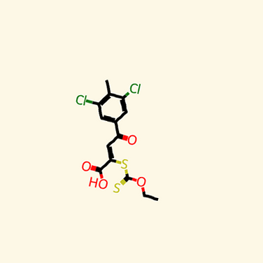 CCOC(=S)S/C(=C\C(=O)c1cc(Cl)c(C)c(Cl)c1)C(=O)O